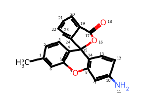 Cc1ccc2c(c1)Oc1cc(N)ccc1C21OC(=O)c2ccccc21